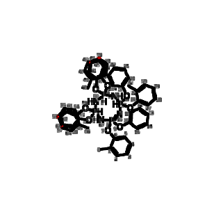 Cc1ccccc1OP1(Oc2ccccc2)=N[PH](Oc2ccccc2)(Oc2ccccc2C)N[PH](Oc2ccccc2)(Oc2ccccc2C)N[PH](Oc2ccccc2)(Oc2ccccc2C)N1